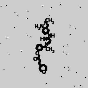 C/N=C/C1C=C(NC(=N)/C=C\N=C(/C)c2cccc(OCC(=O)CCC3CCCOCC3)c2)C=CC1N